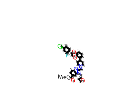 COC(=O)c1ccc2nc(CN3CCC(c4cccc5c4OC[C@@H](c4ccc(Cl)cc4F)O5)CC3)n(C[C@@H]3CCO3)c2c1